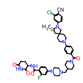 C[C@H]1CC2(CCN(c3ccc(C(=O)N4CCC(CN5CCN(c6ccc(C(=O)NC7CCC(=O)NC7=O)c(F)c6)CC5)CC4)cc3)CC2)CN1c1ccc(C#N)c(Cl)c1